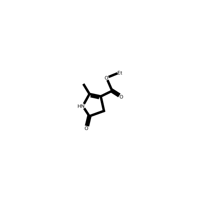 CCOC(=O)C1=C(C)NC(=O)C1